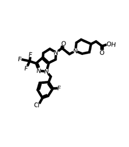 O=C(O)CC1CCN(CC(=O)N2CCc3c(C(F)(F)F)nn(Cc4ccc(Cl)cc4F)c3C2)CC1